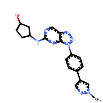 Cn1cc(-c2ccc(-n3nnc4cnc(NC5CCC(O)C5)nc43)cc2)cn1